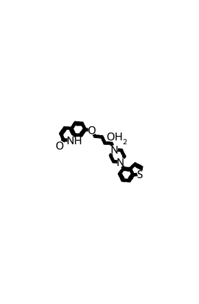 O.O=c1ccc2ccc(OCCCCN3CCN(c4cccc5sccc45)CC3)cc2[nH]1